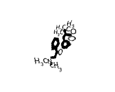 CN(C)CCC(Oc1ccc2oc(=O)c(C(C)(C)C)cc2c1)c1ccccc1